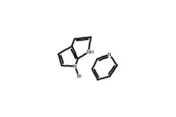 Brn1ccc2cc[nH]c21.c1ccncc1